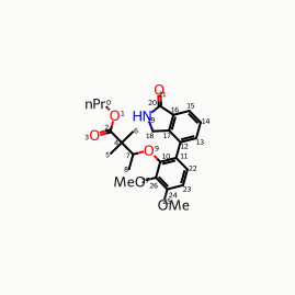 CCCOC(=O)C(C)(C)C(C)Oc1c(-c2cccc3c2CNC3=O)ccc(OC)c1OC